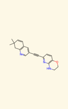 CC1(C)C=Cc2cc(C#Cc3ccc4c(n3)NCCO4)cnc2C1